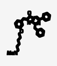 CNCCCCCCOc1cccc(/C=C2\N=C3C(Cc4ccccc4)=NC(c4ccccc4)=CN3C2=O)c1